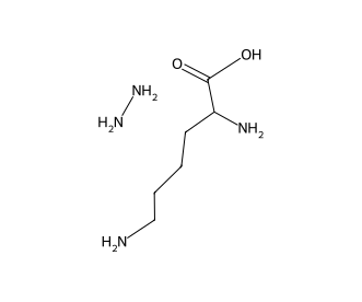 NCCCCC(N)C(=O)O.NN